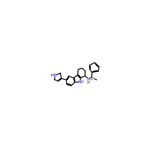 C[C@@H](NC1CCCc2c1[nH]c1ccc(C3=CCNC3)cc21)c1ccccc1